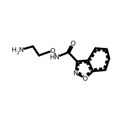 NCCONC(=O)c1noc2ccccc12